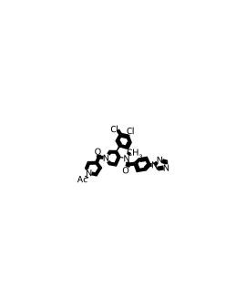 CC(=O)N1CCC(C(=O)N2CC[C@@H](N(C)C(=O)c3ccc(-n4cncn4)cc3)[C@H](c3ccc(Cl)c(Cl)c3)C2)CC1